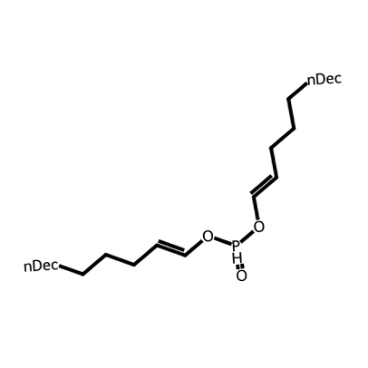 CCCCCCCCCCCCC/C=C/O[PH](=O)O/C=C/CCCCCCCCCCCCC